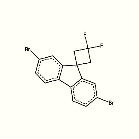 FC1(F)CC2(C1)c1cc(Br)ccc1-c1ccc(Br)cc12